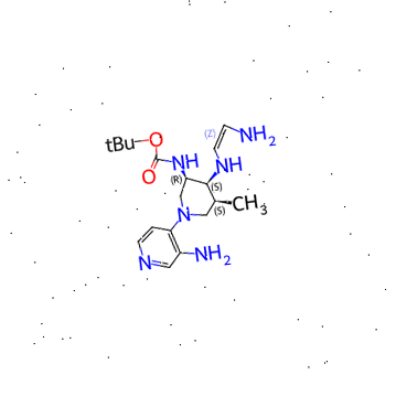 C[C@H]1CN(c2ccncc2N)C[C@@H](NC(=O)OC(C)(C)C)[C@H]1N/C=C\N